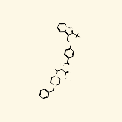 NC(=O)[C@@H](NC(=O)c1ccc(OCc2c(C(F)(F)F)nn3ccccc23)cc1)C(O)N1CCN(Cc2ccccc2)CC1